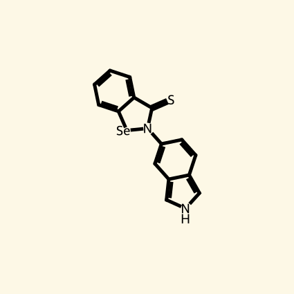 S=c1c2ccccc2[se]n1-c1ccc2c[nH]cc2c1